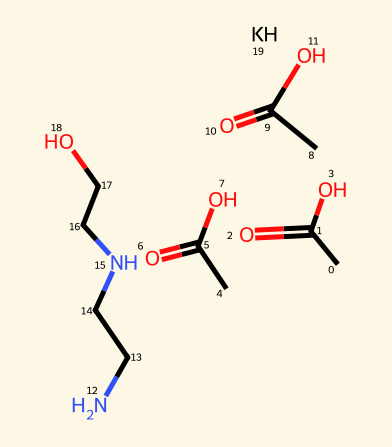 CC(=O)O.CC(=O)O.CC(=O)O.NCCNCCO.[KH]